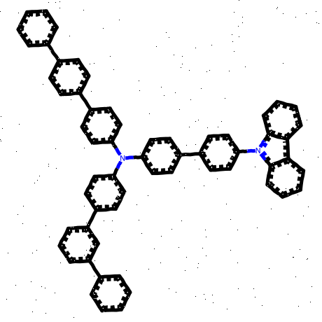 c1ccc(-c2ccc(-c3ccc(N(c4ccc(-c5ccc(-n6c7ccccc7c7ccccc76)cc5)cc4)c4ccc(-c5cccc(-c6ccccc6)c5)cc4)cc3)cc2)cc1